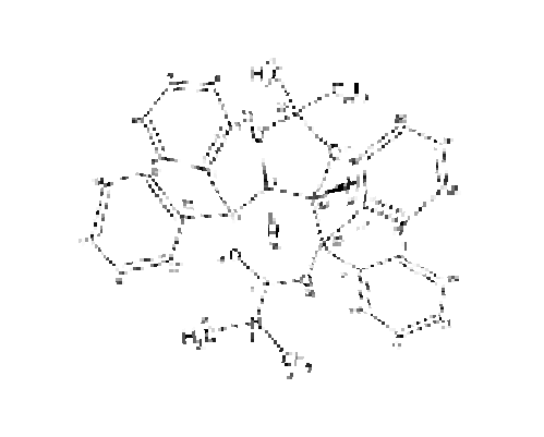 CN(C)P1OC(c2ccccc2)(c2ccccc2)[C@H]2OC(C)(C)O[C@@H]2C(c2ccccc2)(c2ccccc2)O1